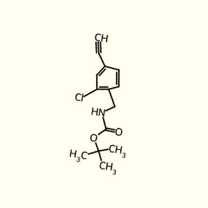 C#Cc1ccc(CNC(=O)OC(C)(C)C)c(Cl)c1